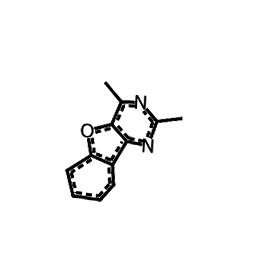 Cc1nc(C)c2oc3ccccc3c2n1